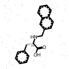 O=C(O)[C@H](Cc1ccccc1)NCc1ccc2ccccc2c1